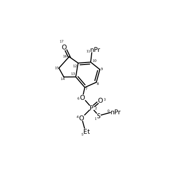 CCCSP(=O)(OCC)Oc1ccc(CCC)c2c1CCC2=O